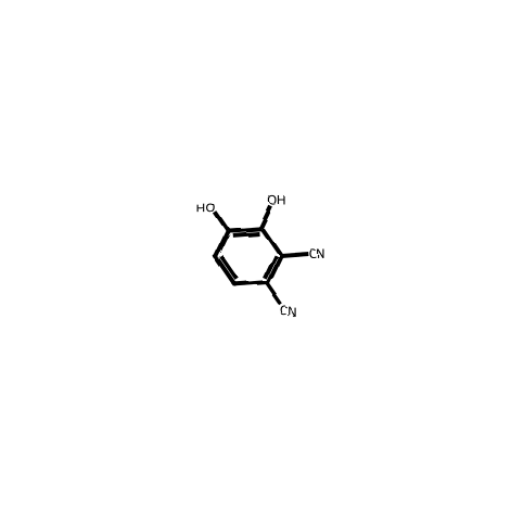 N#Cc1ccc(O)c(O)c1C#N